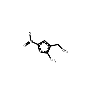 CCc1cc([N+](=O)[O-])sc1C